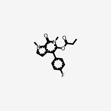 CCC(=O)Oc1c(-c2ccc(F)cc2)c2ccn(C)c2c(=O)n1C